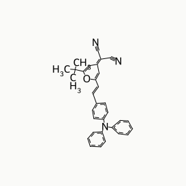 CC(C)(C)C1=CC(=C(C#N)C#N)C=C(C=Cc2ccc(N(c3ccccc3)c3ccccc3)cc2)O1